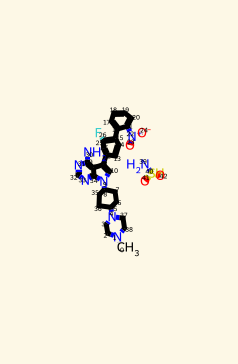 CN1CCN(C2CCC(n3cc(-c4ccc(-c5ccccc5[N+](=O)[O-])c(F)c4)c4c(N)ncnc43)CC2)CC1.N[SH](=O)=O